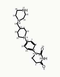 O=C1CCN(c2ccc(N3CCC(CN4CCNCC4)CC3)cc2)C(=O)N1